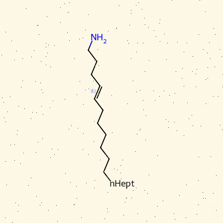 CCCCCCCCCCCCC/C=C/CCCN